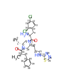 CC(C)C[C@@H]1CN(C(=O)C(N)Cc2ccc(Cl)cc2Cl)[C@@H](CCCNc2nncs2)CN1C(=O)C(C)Cc1ccccc1